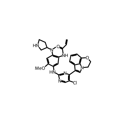 C=CC(=O)Nc1cc(Nc2ncc(Cl)c(-c3cn4c5c(cccc35)OCC4)n2)c(OC)cc1N(C)C1CCNC1